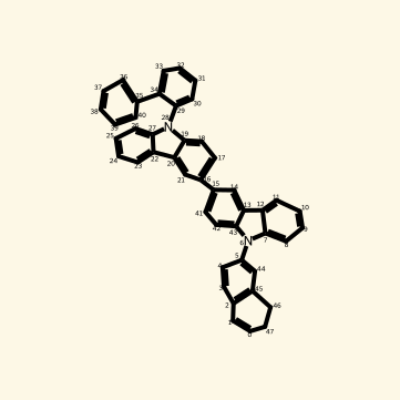 C1=Cc2ccc(-n3c4ccccc4c4cc(-c5ccc6c(c5)c5ccccc5n6-c5ccccc5-c5ccccc5)ccc43)cc2CC1